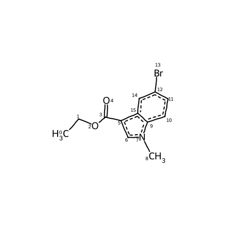 CCOC(=O)c1cn(C)c2ccc(Br)cc12